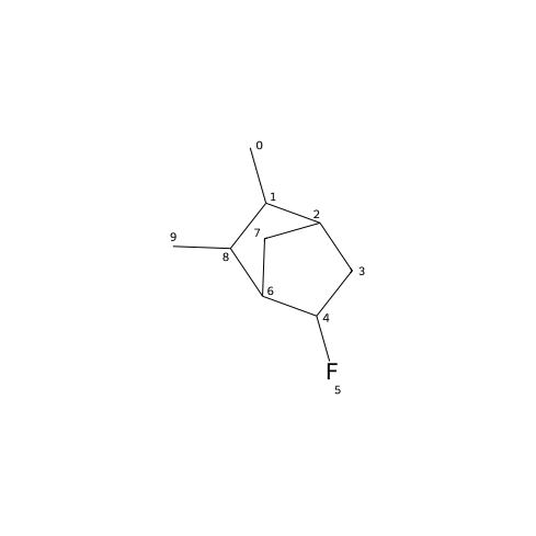 CC1C2CC(F)C(C2)C1C